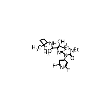 CCN(CC)C(=O)N(c1cc(F)nc(F)c1)c1nc(C(=O)NC2CCC2(C)C)c(C)s1